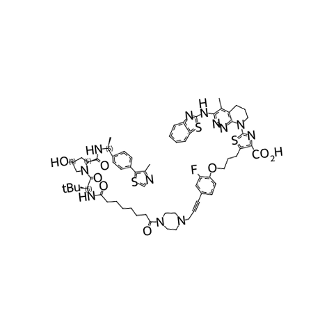 Cc1ncsc1-c1ccc([C@H](C)NC(=O)[C@@H]2C[C@@H](O)CN2C(=O)[C@@H](NC(=O)CCCCCCC(=O)N2CCN(CC#Cc3ccc(OCCCc4sc(N5CCCc6c5nnc(Nc5nc7ccccc7s5)c6C)nc4C(=O)O)c(F)c3)CC2)C(C)(C)C)cc1